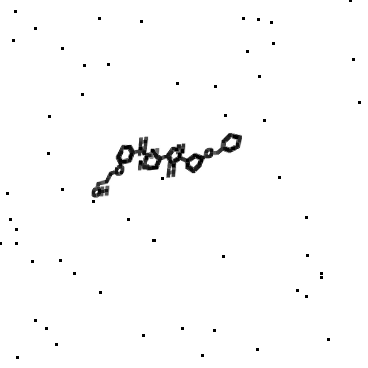 OCCCOc1cccc(Nc2nccc(-c3cnc(-c4cccc(OCc5ccccc5)c4)[nH]3)n2)c1